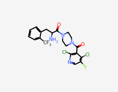 NC(Cc1ccccc1C(F)(F)F)C(=O)N1CCN(C(=O)c2c(Cl)ncc(F)c2Cl)CC1